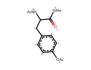 COC(=O)C(Cc1ccc(OC(C)=O)cc1)NC(C)=O